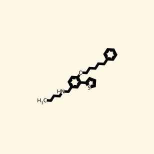 C[CH]CCNCc1ccc(OCCCCCc2ccccc2)c(-c2cccs2)c1